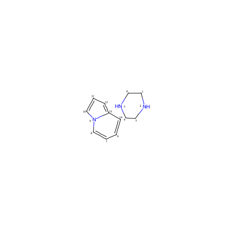 C1CNCCN1.c1ccn2cccc2c1